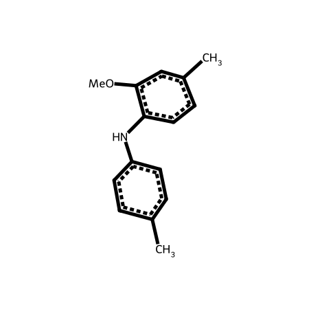 COc1cc(C)ccc1Nc1ccc(C)cc1